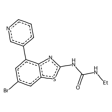 CCNC(=O)Nc1nc2c(-c3cccnc3)cc(Br)cc2s1